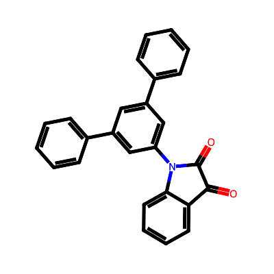 O=C1C(=O)N(c2cc(-c3ccccc3)cc(-c3ccccc3)c2)c2ccccc21